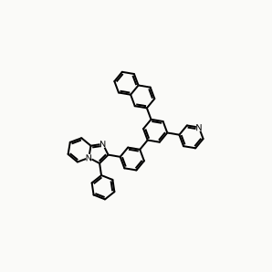 c1ccc(-c2c(-c3cccc(-c4cc(-c5cccnc5)cc(-c5ccc6ccccc6c5)c4)c3)nc3ccccn23)cc1